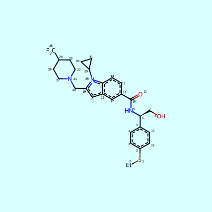 CCSc1ccc([C@H](CO)NC(=O)c2ccc3c(c2)cc(CN2CCC(C(F)(F)F)CC2)n3C2CC2)cc1